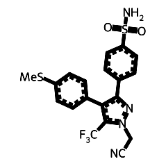 CSc1ccc(-c2c(-c3ccc(S(N)(=O)=O)cc3)nn(CC#N)c2C(F)(F)F)cc1